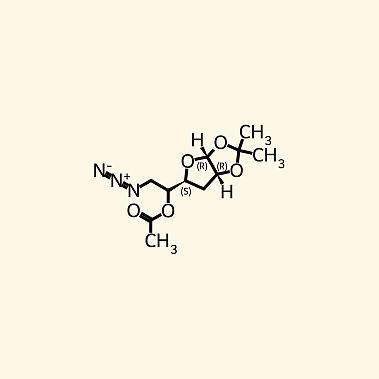 CC(=O)OC(CN=[N+]=[N-])[C@@H]1C[C@H]2OC(C)(C)O[C@H]2O1